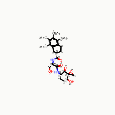 COc1c2c(c(OC)c(OC)c1OC)C[C@@H](C(=O)N[C@@H](CO)C(=O)N[C@@H](CC(C)C)C(=O)[C@@]1(CO)CO1)CC2